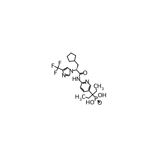 CCC(CC)(c1ccc(NC(=O)[C@H](CC2CCCC2)n2cnc(C(F)(F)F)c2)nc1)P(=O)(O)O